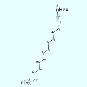 [CH2]CCCCCC#CCCCCCCCCCCCCCCCCCCCC[CH2]